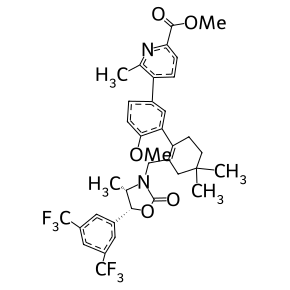 COC(=O)c1ccc(-c2ccc(OC)c(C3=C(CN4C(=O)O[C@H](c5cc(C(F)(F)F)cc(C(F)(F)F)c5)[C@@H]4C)CC(C)(C)CC3)c2)c(C)n1